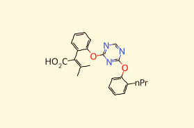 CCCc1ccccc1Oc1ncnc(Oc2ccccc2C(C(=O)O)=C(C)C)n1